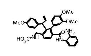 C=CC(c1ccc(OC)cc1)c1c(CNC(=O)O)ccc(C(=O)Nc2ccccc2N)c1-c1ccc(OC)c(OC)c1